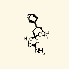 CC(C)(C[C@H](CO)c1ccsc1)OC(N)=O